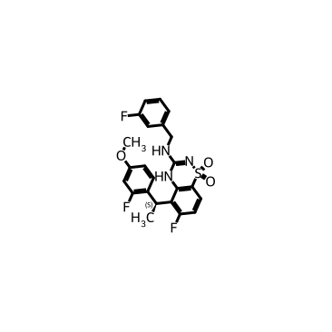 COc1ccc([C@H](C)c2c(F)ccc3c2NC(NCc2cccc(F)c2)=NS3(=O)=O)c(F)c1